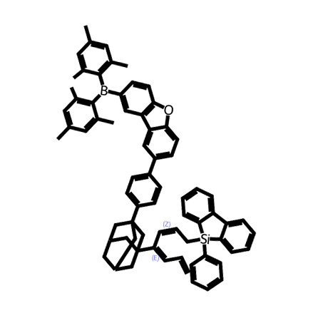 C=C/C=C(\C=C/C[Si]1(c2ccccc2)c2ccccc2-c2ccccc21)C12CC3CC(C1)CC(c1ccc(-c4ccc5oc6ccc(B(c7c(C)cc(C)cc7C)c7c(C)cc(C)cc7C)cc6c5c4)cc1)(C3)C2